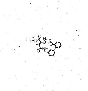 CN1CC(C(=O)NCc2cccc(-c3ccccc3OC(F)(F)F)c2)=C(O)C1=O